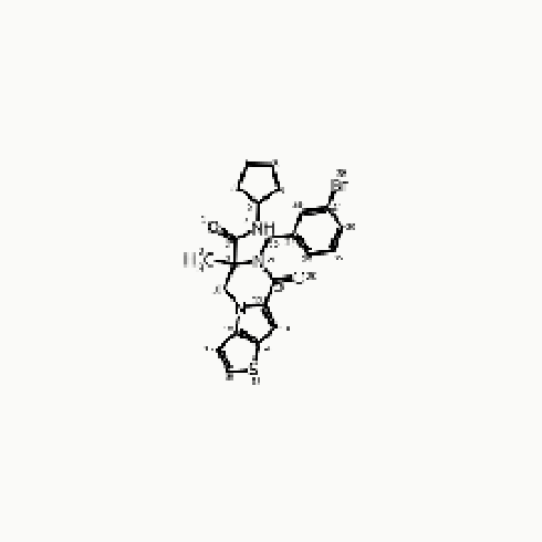 CC1(C(=O)NC2CCCC2)Cn2c(cc3sccc32)C(=O)N1Cc1cccc(Br)c1